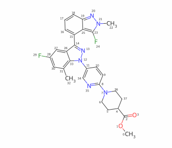 COC(=O)C1CCN(c2ccc(-n3nc(-c4cccc5nn(C)c(F)c45)c4cc(F)cc(C)c43)cn2)CC1